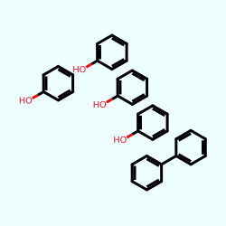 Oc1ccccc1.Oc1ccccc1.Oc1ccccc1.Oc1ccccc1.c1ccc(-c2ccccc2)cc1